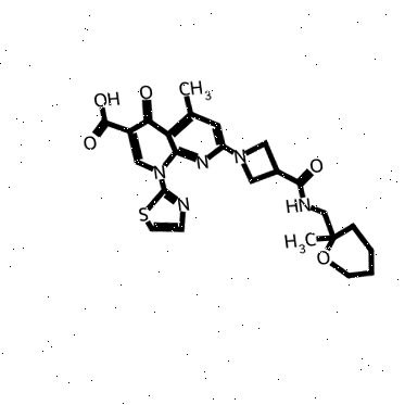 Cc1cc(N2CC(C(=O)NCC3(C)CCCCO3)C2)nc2c1c(=O)c(C(=O)O)cn2-c1nccs1